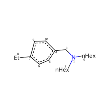 CCCCCCN(CCCCCC)Cc1ccc(CC)cc1